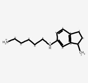 CC1CCc2ccc(NCCCCCN)cc21